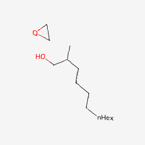 C1CO1.CCCCCCCCCCC(C)CO